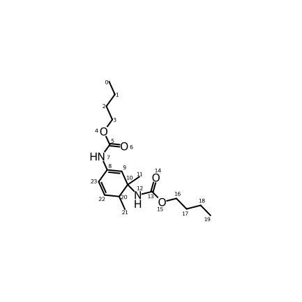 CCCCOC(=O)NC1=CC(C)(NC(=O)OCCCC)C(C)C=C1